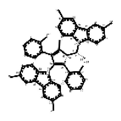 CC1=C(c2ccccc2F)C(n2c3ccc(C)cc3c3cc(C)ccc32)=C(c2ccccc2F)[C@H]1[C@@H](C)n1c2ccc(C)cc2c2cc(C)ccc21